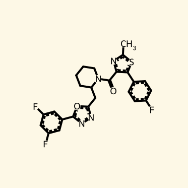 Cc1nc(C(=O)N2CCCCC2Cc2nnc(-c3cc(F)cc(F)c3)o2)c(-c2ccc(F)cc2)s1